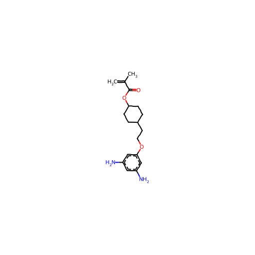 C=C(C)C(=O)OC1CCC(CCOc2cc(N)cc(N)c2)CC1